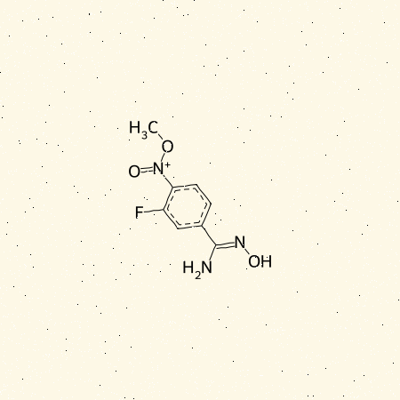 CO[N+](=O)c1ccc(/C(N)=N/O)cc1F